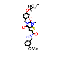 COc1cccc(CNC(=O)c2cc3c(=O)n(Cc4ccc(OC(C)(C)C(=O)O)cc4)c(=O)n(C)c3s2)c1